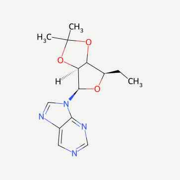 CC[C@H]1O[C@@H](n2cnc3cncnc32)[C@H]2OC(C)(C)OC12